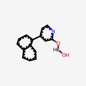 OBOc1cc(-c2cccc3ccccc23)ccn1